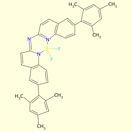 Cc1cc(C)c(-c2ccc3c(c2)C=CC2=Nc4ccc5cc(-c6c(C)cc(C)cc6C)ccc5[n+]4S(F)(F)N23)c(C)c1